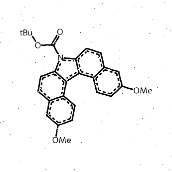 COc1ccc2c(ccc3c2c2c4ccc(OC)cc4ccc2n3C(=O)OC(C)(C)C)c1